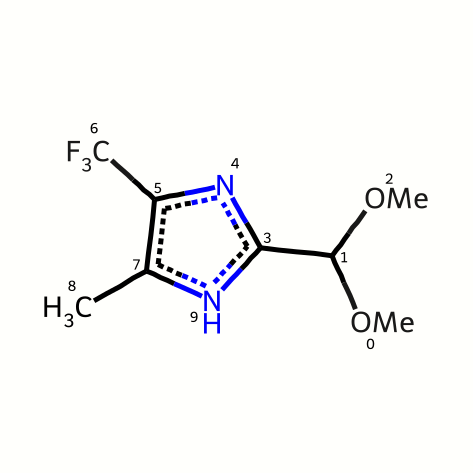 COC(OC)c1nc(C(F)(F)F)c(C)[nH]1